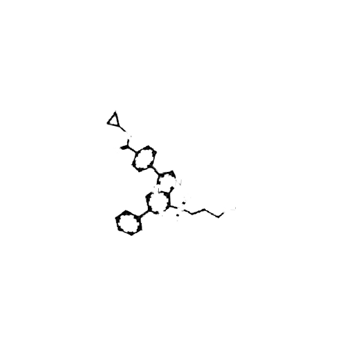 CCCCS(=O)(=O)c1nc(-c2ccccc2)cn2c(-c3ccc(C(=O)NC4CC4)cc3)cnc12